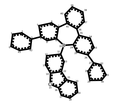 c1ccc(-c2ccc3c(c2)B(c2ccc4oc5ccccc5c4c2)c2cc(-c4ccccc4)ccc2-c2ccccc2-3)cc1